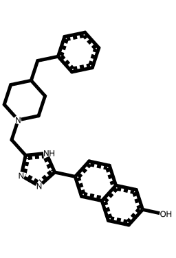 Oc1ccc2cc(-c3nnc(CN4CCC(Cc5ccccc5)CC4)[nH]3)ccc2c1